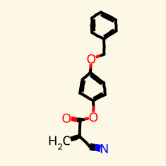 C=C(C#N)C(=O)Oc1ccc(OCc2ccccc2)cc1